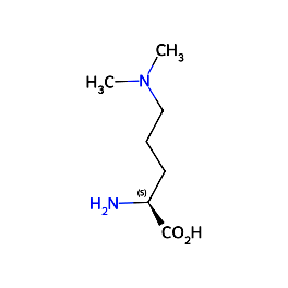 CN(C)CCC[C@H](N)C(=O)O